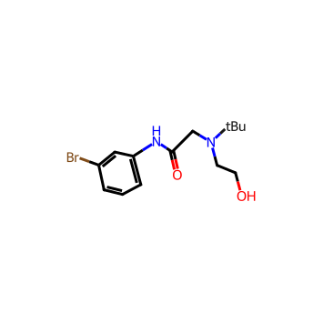 CC(C)(C)N(CCO)CC(=O)Nc1cccc(Br)c1